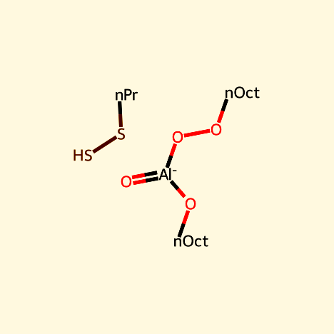 CCCCCCCCO[O][Al-](=[O])[O]CCCCCCCC.CCCSS